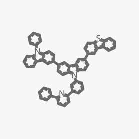 c1ccc(-c2cccc(-c3cccc(-n4c5ccc(-c6ccc7sc8ccccc8c7c6)cc5c5cc(-c6ccc7c(c6)c6ccccc6n7-c6ccccc6)ccc54)c3)n2)cc1